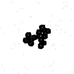 c1ccc(C2(c3ccccc3)c3ccccc3-c3cc(N(c4ccc5oc6ccccc6c5c4)c4cccc5c4-c4ccccc4C54c5ccccc5-c5ccccc54)ccc32)cc1